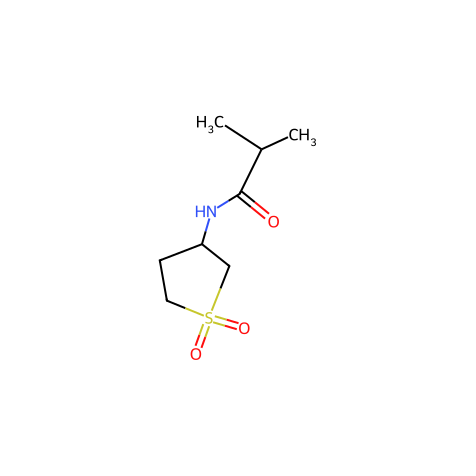 CC(C)C(=O)NC1CCS(=O)(=O)C1